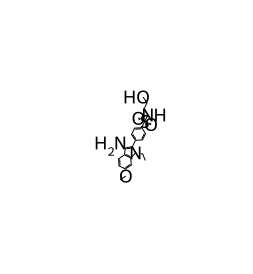 CCn1c(-c2ccc(S(=O)(=O)NCCO)cc2)c(N)c2ccc(OC)cc21